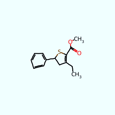 CCC1=C(C(=O)OC)SC(c2ccccc2)C1